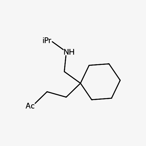 CC(=O)CCC1(CNC(C)C)CCCCC1